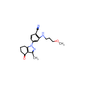 COCCCNc1cc(-n2nc(C)c3c2CCCC3=O)ccc1C#N